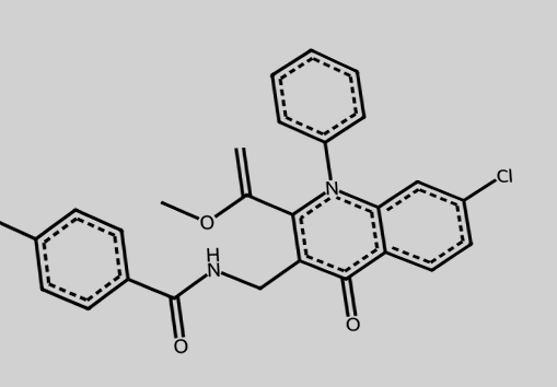 C=C(OC)c1c(CNC(=O)c2ccc(F)cc2)c(=O)c2ccc(Cl)cc2n1-c1ccccc1